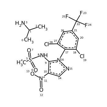 CC(C)N.CS(=O)(=O)Nc1c([N+](=O)[O-])cnn1-c1c(Cl)cc(C(F)(F)F)cc1Cl